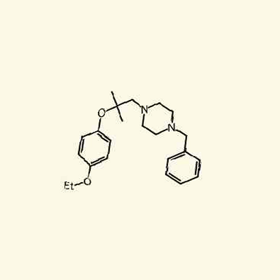 CCOc1ccc(OC(C)(C)CN2CCN(Cc3ccccc3)CC2)cc1